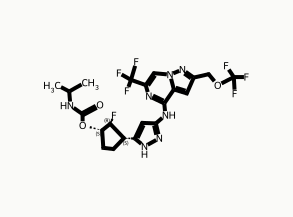 CC(C)NC(=O)O[C@H]1CC[C@@H](c2cc(Nc3nc(C(F)(F)F)cn4nc(COC(F)(F)F)cc34)n[nH]2)[C@H]1F